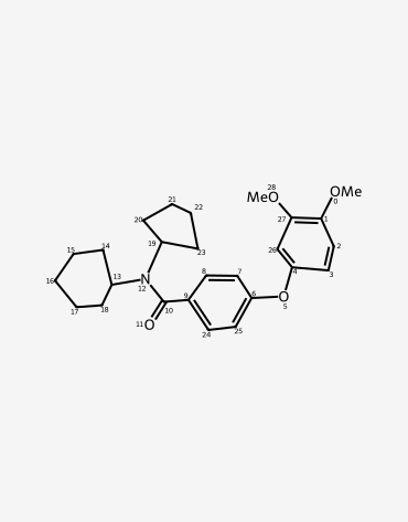 COc1ccc(Oc2ccc(C(=O)N(C3CCCCC3)C3CCCC3)cc2)cc1OC